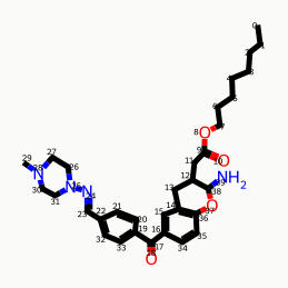 CCCCCCCCOC(=O)CC1Cc2cc(C(=O)c3ccc(C=NN4CCN(C)CC4)cc3)ccc2OC1N